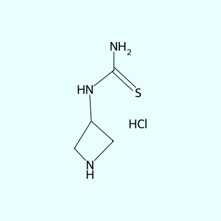 Cl.NC(=S)NC1CNC1